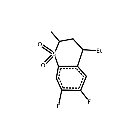 CCC1CC(C)S(=O)(=O)c2cc(F)c(F)cc21